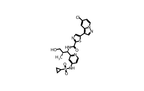 C[C@@H](CO)[C@@H](NC(=O)c1ncc(-c2cnn3ccc(Cl)cc23)s1)c1cc(NS(=O)(=O)C2CC2)ccn1